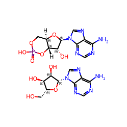 Nc1ncnc2c1ncn2[C@@H]1O[C@@H]2COP(=O)(O)O[C@H]2[C@H]1O.Nc1ncnc2c1ncn2[C@@H]1O[C@H](CO)[C@@H](O)[C@H]1O